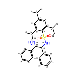 CC(C)c1cc(C(C)C)c(S(=O)(=O)NC(c2ccccc2)[C@@H](N)c2ccccc2)c(C(C)C)c1